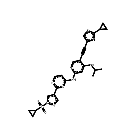 CC(C)Nc1cc(Nc2ccnc(-c3cnn(S(=O)(=O)C4CC4)c3)n2)ncc1C#Cc1csc(C2CC2)n1